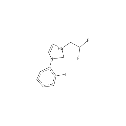 FC(F)C[SH]1C=CN(c2ccccc2I)C1